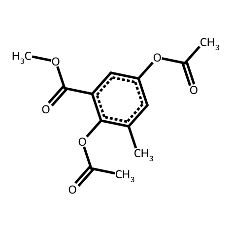 COC(=O)c1cc(OC(C)=O)cc(C)c1OC(C)=O